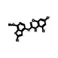 CCc1cc2c(OC(=O)Nc3c(Cl)c[n+]([O-])cc3Cl)cnc(OC)c2o1